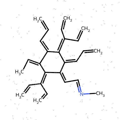 C=C/C=c1\c(=C(C=C)C=C)c(=C\C=C)/c(=C\C=N\C)c(=C(C=C)C=C)\c1=C/C